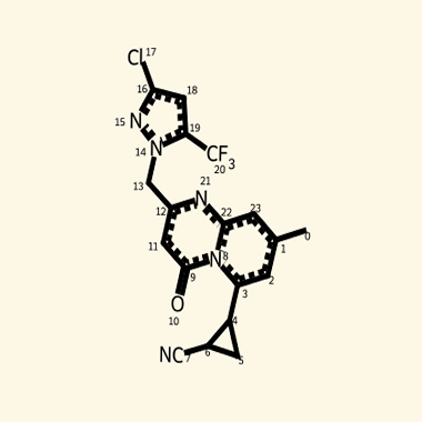 Cc1cc(C2CC2C#N)n2c(=O)cc(Cn3nc(Cl)cc3C(F)(F)F)nc2c1